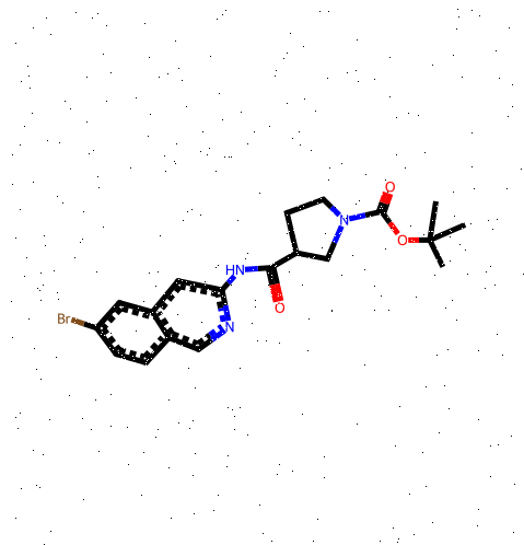 CC(C)(C)OC(=O)N1CCC(C(=O)Nc2cc3cc(Br)ccc3cn2)C1